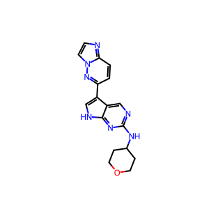 c1cn2nc(-c3c[nH]c4nc(NC5CCOCC5)ncc34)ccc2n1